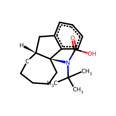 CC(C)(C)N(C(=O)O)[C@@]12CCCCC[C@@H]1Cc1ccccc12